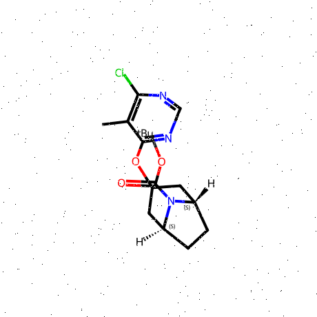 Cc1c(Cl)ncnc1OC1C[C@@H]2CC[C@@H](C1)N2C(=O)OC(C)(C)C